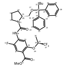 COC(=O)c1cc(F)c(NC(=O)N2CCC[C@@H]2CO[Si](c2ccccc2)(c2ccccc2)C(C)(C)C)cc1O[C@@H](C)C(F)(F)F